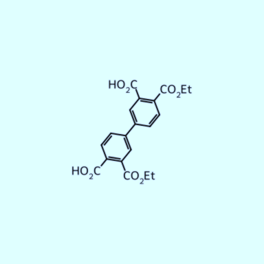 CCOC(=O)c1ccc(-c2ccc(C(=O)O)c(C(=O)OCC)c2)cc1C(=O)O